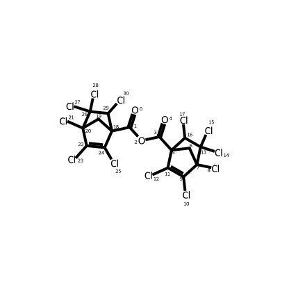 O=C(OC(=O)C12CC(Cl)(C(Cl)=C1Cl)C(Cl)(Cl)C2Cl)C12CC(Cl)(C(Cl)=C1Cl)C(Cl)(Cl)C2Cl